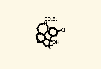 CCOC(=O)N1CCc2ccc3c(c2CC1)C(O)(c1cccc(Cl)c1)C(F)(F)C3